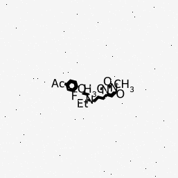 CCN(CCCc1cc(=O)n(C)c(=O)n1C)CCOc1ccc(C(C)=O)cc1F